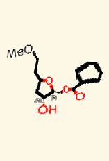 COCCC1C[C@@H](O)[C@@H](COC(=O)c2ccccc2)O1